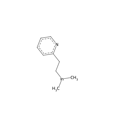 [CH3][In]([CH3])[CH2]Cc1ccccn1